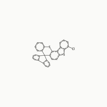 Clc1cccc2c1sc1ccc3c(c12)Sc1ccccc1C31c2ccccc2-c2ccccc21